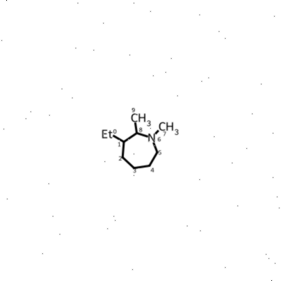 CCC1CCCCN(C)C1C